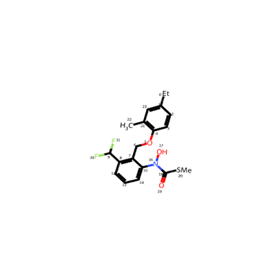 CCc1ccc(OCc2c(C(F)F)cccc2N(O)C(=O)SC)c(C)c1